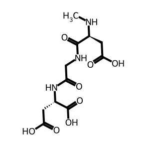 CN[C@@H](CC(=O)O)C(=O)NCC(=O)N[C@@H](CC(=O)O)C(=O)O